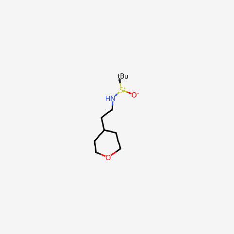 CC(C)(C)[S@@+]([O-])NCCC1CCOCC1